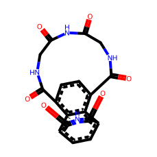 O=C1CNC(=O)c2ccc(c3c4ccc(c(=O)[nH]c4=O)c23)C(=O)NCC(=O)N1